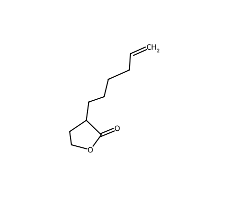 C=CCCCCC1CCOC1=O